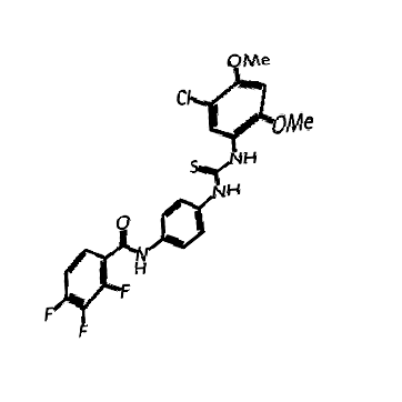 COc1cc(OC)c(NC(=S)Nc2ccc(NC(=O)c3ccc(F)c(F)c3F)cc2)cc1Cl